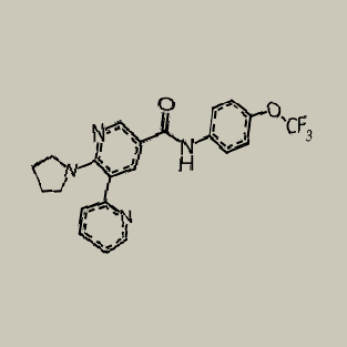 O=C(Nc1ccc(OC(F)(F)F)cc1)c1cnc(N2CCCC2)c(-c2ccccn2)c1